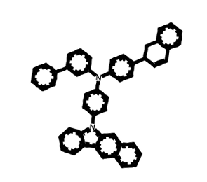 C1=CC(c2ccc(N(c3ccc(-n4c5ccccc5c5cc6ccccc6cc54)cc3)c3cccc(-c4ccccc4)c3)cc2)Cc2ccccc21